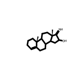 C[C@]12CCCC=C1CCC1C2CC[C@]2(C)C(=N)C(O)CC12